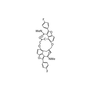 C=C1COc2ccc3oc(-c4ccc(F)cc4)c(C(=O)NC)c3c2CC(=O)COc2ccc3oc(-c4ccc(F)cc4)c(C(=O)NC)c3c2C1